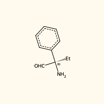 CC[C@](N)([C]=O)c1ccccc1